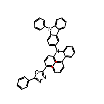 c1ccc(-c2nnc(-c3ccc(N(c4ccc5c(c4)c4ccccc4n5-c4ccccc4)c4ccccc4-c4ccccc4)cc3)o2)cc1